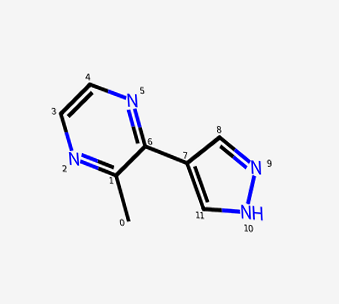 Cc1nccnc1-c1cn[nH]c1